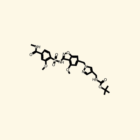 CNC(=O)c1ccc(S(=O)(=O)Nc2noc3cc(Cn4cc(CNC(=O)OC(C)(C)C)cn4)cc(OC)c23)c(OC)c1